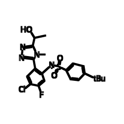 CC(O)c1nnc(-c2cc(Cl)c(F)cc2[N]S(=O)(=O)c2ccc(C(C)(C)C)cc2)n1C